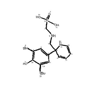 CC(C)(C)c1cc(C2(CNCP(=O)(O)O)C=CC=CN2)cc(C(C)(C)C)c1O